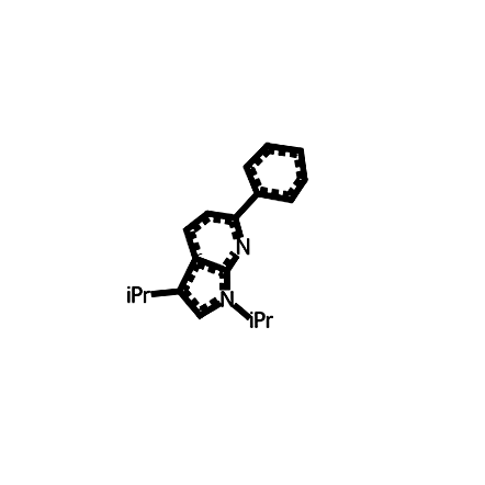 CC(C)c1cn(C(C)C)c2nc(-c3ccccc3)ccc12